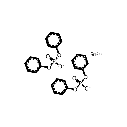 O=P([O-])(Oc1ccccc1)Oc1ccccc1.O=P([O-])(Oc1ccccc1)Oc1ccccc1.[Sn+2]